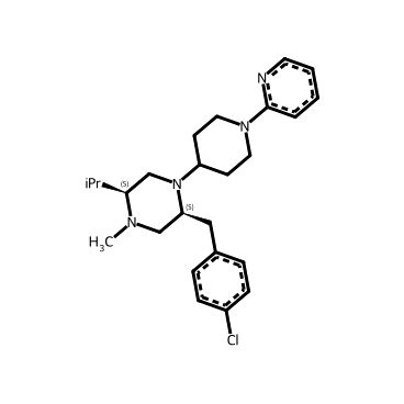 CC(C)[C@H]1CN(C2CCN(c3ccccn3)CC2)[C@@H](Cc2ccc(Cl)cc2)CN1C